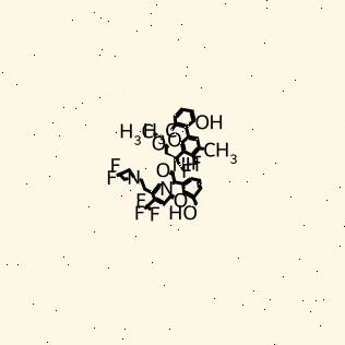 CCOC(=O)C[C@H](NC(=O)C(c1cc(CO)ccc1F)n1cc(CCN2CC(F)(F)C2)c(C(F)(F)F)cc1=O)c1cc(-c2c(C)cccc2O)cc(C)c1F